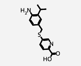 CC(C)c1cc(CSc2ccc(C(=O)O)nc2)ccc1N